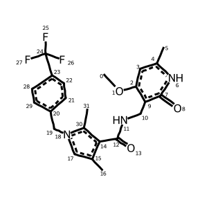 COc1cc(C)[nH]c(=O)c1CNC(=O)c1c(C)cn(Cc2ccc(C(F)(F)F)cc2)c1C